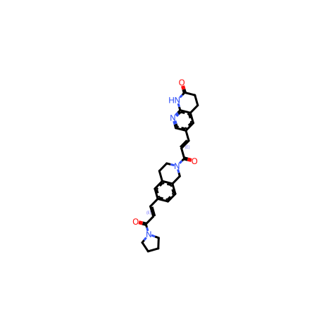 O=C1CCc2cc(/C=C/C(=O)N3CCc4cc(/C=C/C(=O)N5CCCC5)ccc4C3)cnc2N1